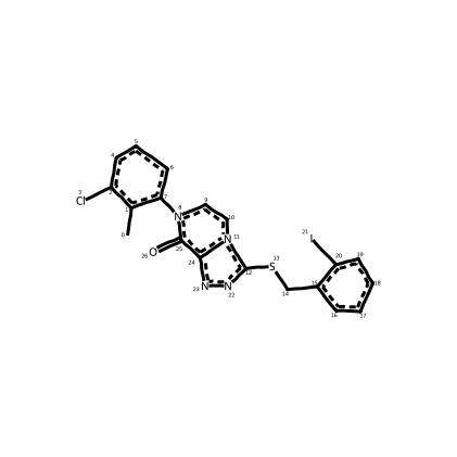 Cc1c(Cl)cccc1-n1ccn2c(SCc3ccccc3I)nnc2c1=O